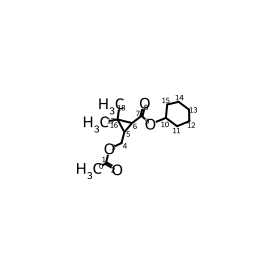 CC(=O)OCC1C(C(=O)OC2CCCCC2)C1(C)C